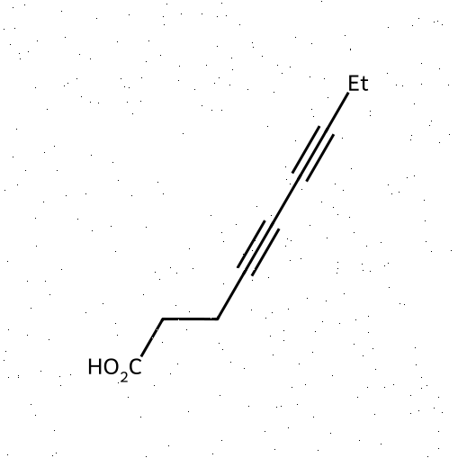 CCC#CC#CCCC(=O)O